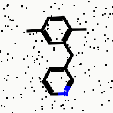 Cc1ccc(C)c(Cc2cccnc2)c1